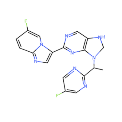 CC(c1ncc(F)cn1)N1CNc2cnc(-c3cnc4ccc(F)cn34)nc21